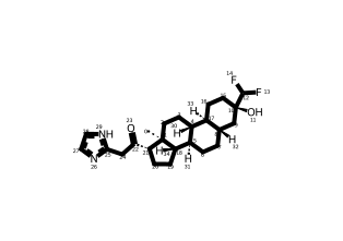 C[C@]12CC[C@H]3[C@@H](CC[C@H]4C[C@@](O)(C(F)F)CC[C@@H]43)[C@@H]1CC[C@@H]2C(=O)Cc1ncc[nH]1